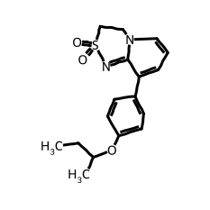 CCC(C)Oc1ccc(C2=CC=CN3CCS(=O)(=O)N=C23)cc1